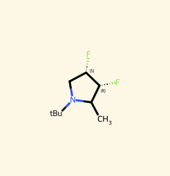 CC1[C@@H](F)[C@@H](F)CN1C(C)(C)C